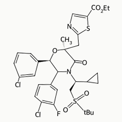 CCOC(=O)c1cnc(C[C@]2(C)O[C@H](c3cccc(Cl)c3)C(c3ccc(Cl)c(F)c3)N([C@H](CS(=O)(=O)C(C)(C)C)C3CC3)C2=O)s1